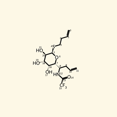 C=CCCS[C@H]1O[C@H](C(CC=C)NC(=O)C(F)(F)F)[C@H](O)[C@H](O)[C@H]1O